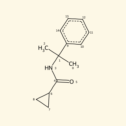 CC(C)(NC(=O)C1CC1)c1ccccc1